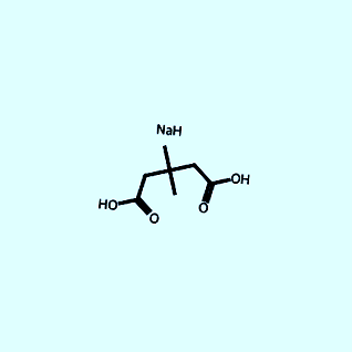 CC(C)(CC(=O)O)CC(=O)O.[NaH]